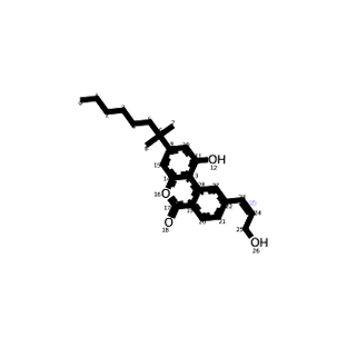 CCCCCCC(C)(C)c1cc(O)c2c(c1)oc(=O)c1ccc(/C=C\CO)cc12